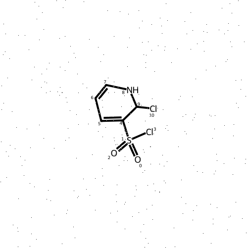 O=S(=O)(Cl)C1=CC=CNC1Cl